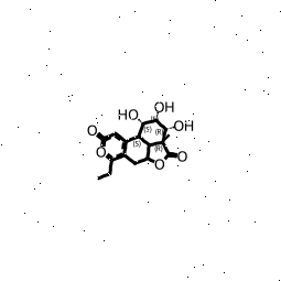 CCc1oc(=O)cc2c1CC1OC(=O)[C@]3(C)C1[C@]2(C)[C@H](O)[C@H](O)[C@@H]3O